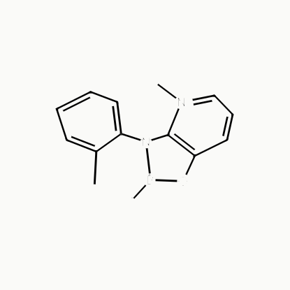 Cc1ccccc1N1B(I)Oc2ccc[n+](C)c21